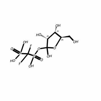 O=P(O)(O)C(F)(F)P(=O)(O)OC1(O)O[C@H](CO)[C@@H](O)[C@H]1O